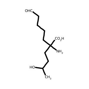 CC(O)CCC(N)(CCCCC=O)C(=O)O